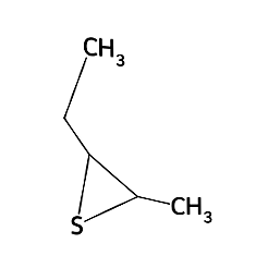 CCC1SC1C